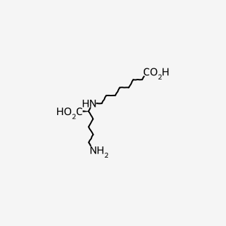 NCCCC[C@H](NCCCCCCCC(=O)O)C(=O)O